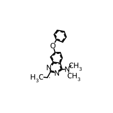 C[CH]c1nc(N(C)C)c2ccc(Oc3ccccc3)cc2n1